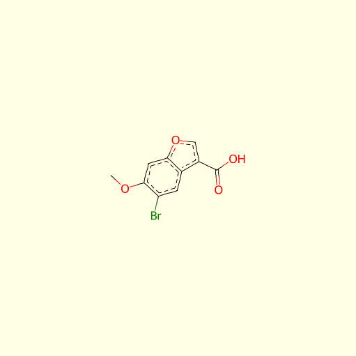 COc1cc2occ(C(=O)O)c2cc1Br